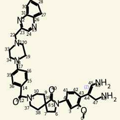 COc1cc(N2CCC3(CCN(C(=O)c4ccc(N5CCN(Cc6cnc7ccccc7n6)CC5)cc4)CC3)C2=O)ccc1/C(=C/N)CN